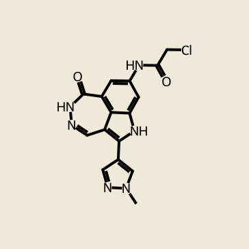 Cn1cc(-c2[nH]c3cc(NC(=O)CCl)cc4c3c2C=NNC4=O)cn1